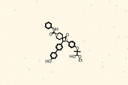 CCOC(O)C(C)(C)Oc1ccc(N2C(=O)C3(CCN(C(=O)Nc4ccccc4)CC3)C2c2ccc(-c3ccc(O)cc3)cc2)cc1